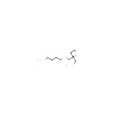 CCC1(COCCCCO)CCO1